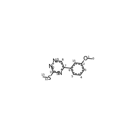 COc1cccc(-c2cnnc(SC)n2)c1